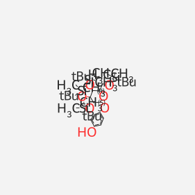 CC(C)(C)[Si](C)(C)OC[C@H]1O[C@@H](Oc2ccc(O)cc2)C(O[Si](C)(C)C(C)(C)C)C(O[Si](C)(C)C(C)(C)C)C1O[Si](C)(C)C(C)(C)C